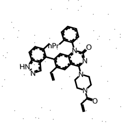 C=CC(=O)N1CCN(c2nc(=O)n(-c3ccccc3CCC)c3cc(-c4c(C)ccc5[nH]ncc45)c(C=C)cc23)CC1